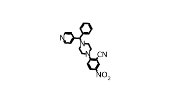 N#Cc1cc([N+](=O)[O-])ccc1N1CCN(C(c2ccccc2)c2ccncc2)CC1